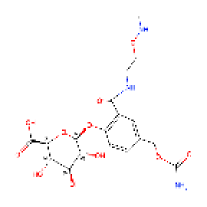 CNOCCNC(=O)c1cc(COC(N)=O)ccc1O[C@@H]1O[C@H](C(=O)O)[C@@H](O)[C@H](O)[C@H]1O